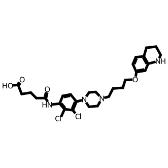 O=C(O)CCCC(=O)Nc1ccc(N2CCN(CCCCOc3ccc4c(c3)NCCC4)CC2)c(Cl)c1Cl